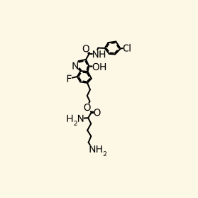 NCCCCC(N)C(=O)OCCCc1cc(F)c2ncc(C(=O)NCc3ccc(Cl)cc3)c(O)c2c1